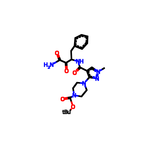 Cn1cc(C(=O)NC(Cc2ccccc2)C(=O)C(N)=O)c(N2CCN(C(=O)OC(C)(C)C)CC2)n1